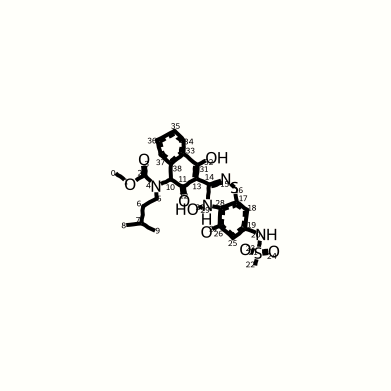 COC(=O)N(CCC(C)C)C1C(=O)C(C2=NSc3cc(NS(C)(=O)=O)cc(O)c3N2O)=C(O)c2ccccc21